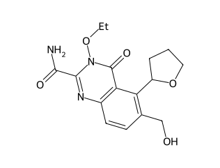 CCOn1c(C(N)=O)nc2ccc(CO)c(C3CCCO3)c2c1=O